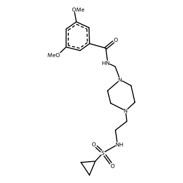 COc1cc(OC)cc(C(=O)NCN2CCN(CCNS(=O)(=O)C3CC3)CC2)c1